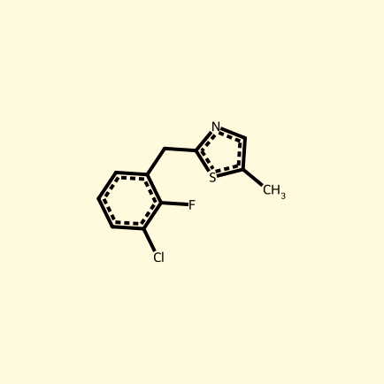 Cc1cnc(Cc2cccc(Cl)c2F)s1